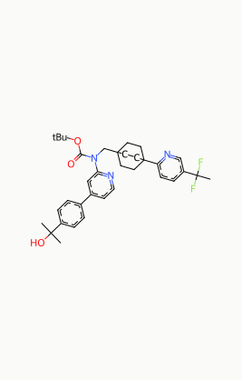 CC(C)(C)OC(=O)N(CC12CCC(c3ccc(C(C)(F)F)cn3)(CC1)CC2)c1cc(-c2ccc(C(C)(C)O)cc2)ccn1